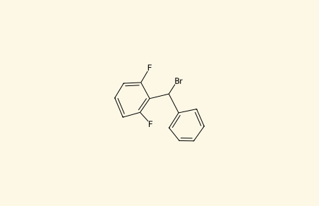 Fc1cccc(F)c1C(Br)c1ccccc1